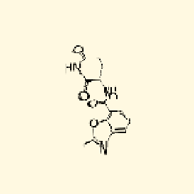 Cc1nc2cccc(C(=O)NC3CCC(=O)NC3=O)c2o1